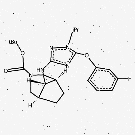 CC(C)n1nc(N[C@@H]2[C@@H]3CC[C@H]2CN(C(=O)OC(C)(C)C)C3)nc1Oc1cccc(F)c1